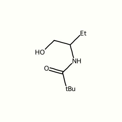 CCC(CO)NC(=O)C(C)(C)C